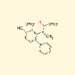 C=C(C(=O)OC)c1c(-c2ccccc2)ccc(C#N)c1OC